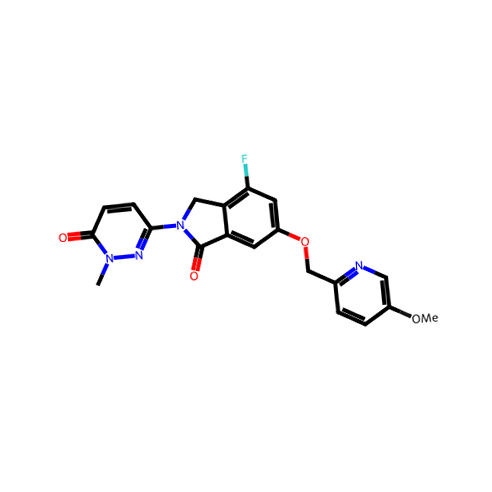 COc1ccc(COc2cc(F)c3c(c2)C(=O)N(c2ccc(=O)n(C)n2)C3)nc1